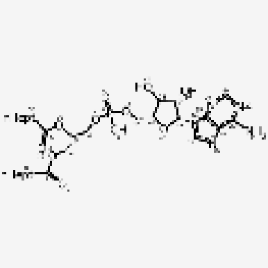 CCCCCCCC(=O)OC[C@@H](COP(=O)(O)OC[C@H]1O[C@@H](n2cnc3c(N)ncnc32)[C@@H](O)C1O)OC(=O)CCCCCCC